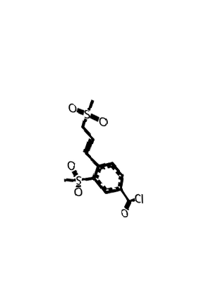 CS(=O)(=O)CC=Cc1ccc(C(=O)Cl)cc1S(C)(=O)=O